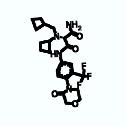 NC(=O)[C@H](C(=O)Nc1ccc(N2CCOCC2=O)c(C(F)(F)F)c1)N(CC1CCC1)C1CCC1